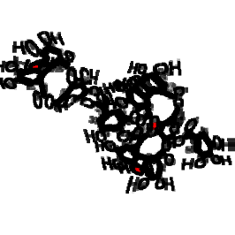 O=C(O[C@@H]1O[C@@H]2COC(=O)c3cc(O)c(O)c(O)c3-c3c(cc(O)c(O)c3O)C(=O)O[C@H]2[C@H](O)[C@H]1O)c1cc(O)c(O)c(Oc2c(O)c(O)c(O)c3c2C(=O)O[C@H]2[C@@H]4OC(=O)c5cc(O)c(O)c(O)c5-c5c(cc(O)c(O)c5O)C(=O)O[C@H]4[C@H](OC(=O)c4cc(O)c(O)c(O)c4)O[C@@H]2COC(=O)c2cc(O)c(O)c(O)c2-3)c1